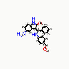 COCc1ccc(NC(=C2C(=O)Nc3ccc(N)cc32)c2ccccc2)cc1